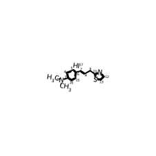 CN(C)c1ccc(C=CCc2nccs2)cc1.I